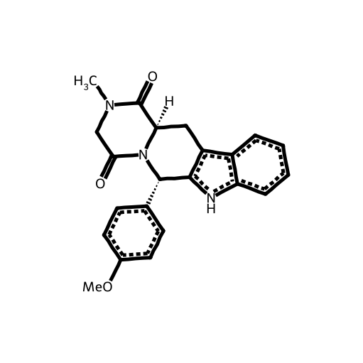 COc1ccc([C@H]2c3[nH]c4ccccc4c3C[C@@H]3C(=O)N(C)CC(=O)N23)cc1